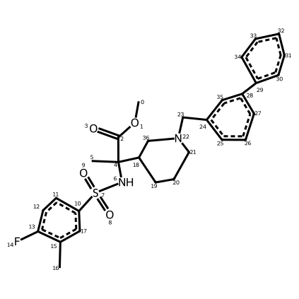 COC(=O)C(C)(NS(=O)(=O)c1ccc(F)c(C)c1)C1CCCN(Cc2cccc(-c3ccccc3)c2)C1